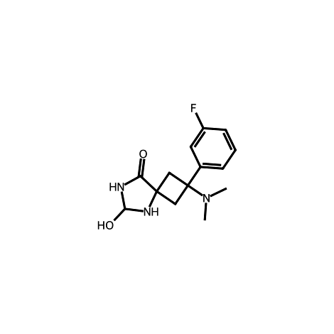 CN(C)C1(c2cccc(F)c2)CC2(C1)NC(O)NC2=O